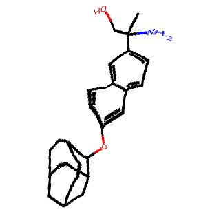 CC(N)(CO)c1ccc2cc(OC3C4CC5CC(C4)CC3C5)ccc2c1